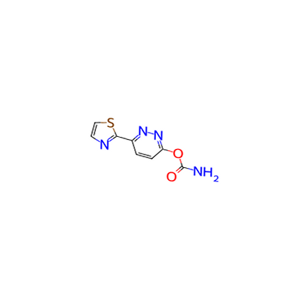 NC(=O)Oc1ccc(-c2nccs2)nn1